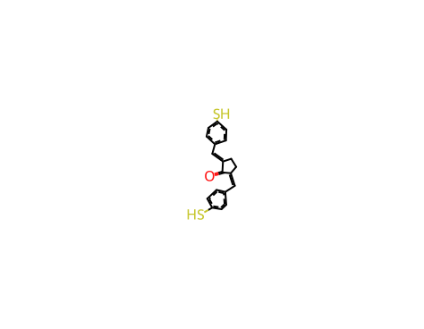 O=C1/C(=C\c2ccc(S)cc2)CC/C1=C\c1ccc(S)cc1